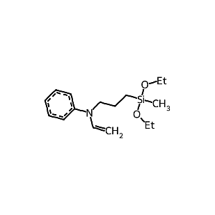 C=CN(CCC[Si](C)(OCC)OCC)c1ccccc1